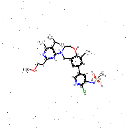 COCCc1nc(C)c(C(C)C)c(N2CCOc3c(C)cc(-c4cnc(Cl)c(NS(C)(=O)=O)c4)cc3C2)n1